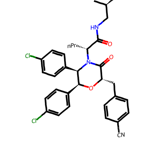 CCC[C@H](C(=O)NC[C@@H](C)C(=O)O)N1C(=O)[C@H](Cc2ccc(C#N)cc2)O[C@@H](c2ccc(Cl)cc2)[C@H]1c1ccc(Cl)cc1